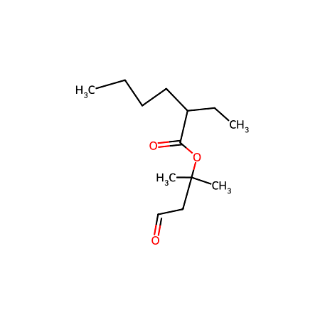 CCCCC(CC)C(=O)OC(C)(C)CC=O